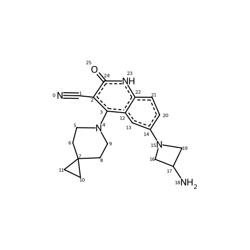 N#Cc1c(N2CCC3(CC2)CC3)c2cc(N3CC(N)C3)ccc2[nH]c1=O